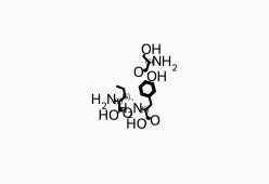 CC[C@H](C)[C@H](N)C(=O)O.N[C@@H](CO)C(=O)O.N[C@@H](Cc1ccccc1)C(=O)O